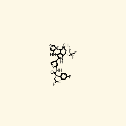 CN1C[C@H](CC(F)(F)F)c2[nH]c(-c3ccnc(NC(=O)[C@H](CC(F)F)c4ccc(F)cc4)c3)c(Nc3cscn3)c2C1=O